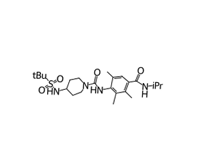 Cc1cc(C(=O)NC(C)C)c(C)c(C)c1NC(=O)N1CCC(NS(=O)(=O)C(C)(C)C)CC1